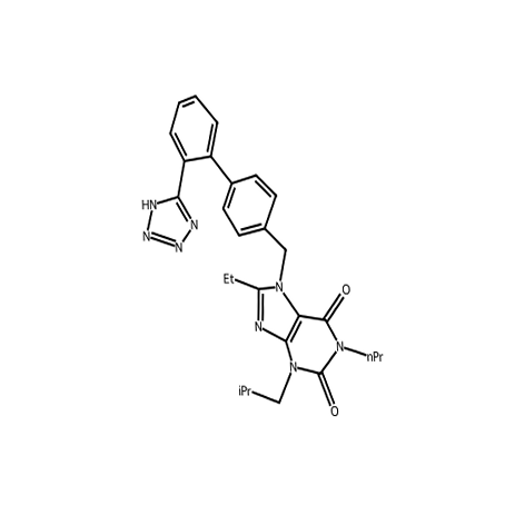 CCCn1c(=O)c2c(nc(CC)n2Cc2ccc(-c3ccccc3-c3nnn[nH]3)cc2)n(CC(C)C)c1=O